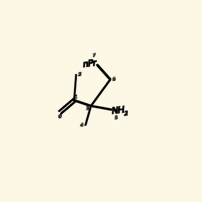 C=C(C)C(C)(N)CCCC